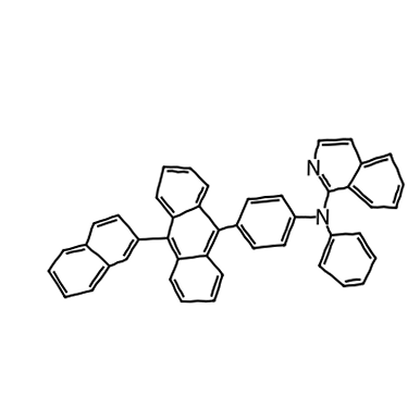 c1ccc(N(c2ccc(-c3c4ccccc4c(-c4ccc5ccccc5c4)c4ccccc34)cc2)c2nccc3ccccc23)cc1